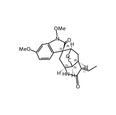 C/C=C1/C(=O)N[C@H]2C[C@@]3(C(=O)N(OC)c4cc(OC)ccc43)[C@H]3C[C@@H]1[C@@H]2CO3